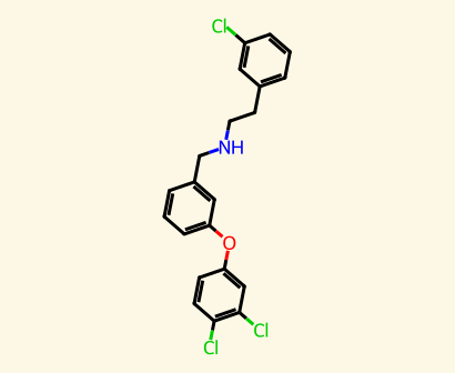 Clc1cccc(CCNCc2cccc(Oc3ccc(Cl)c(Cl)c3)c2)c1